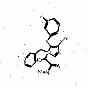 CNC(=S)C(O)[N+]1(Cc2cccnc2)C=NC(C(C)C)=C1Sc1cccc(F)c1